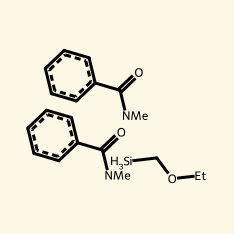 CCOC[SiH3].CNC(=O)c1ccccc1.CNC(=O)c1ccccc1